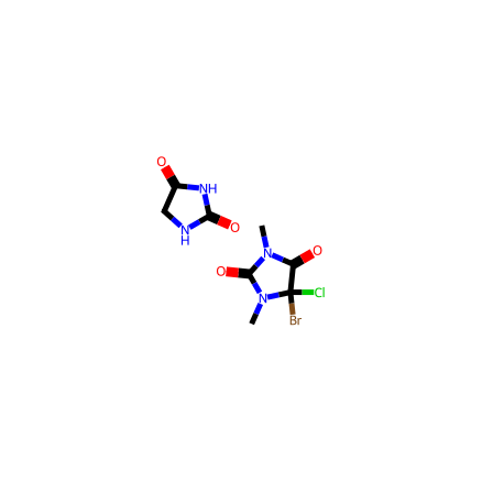 CN1C(=O)N(C)C(Cl)(Br)C1=O.O=C1CNC(=O)N1